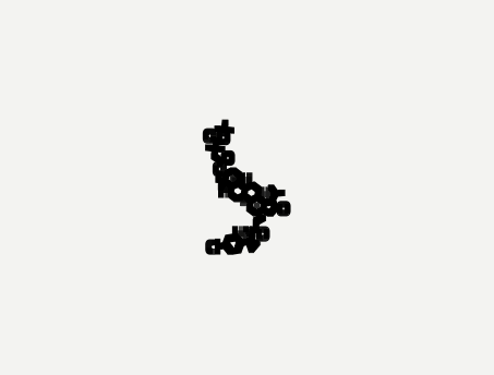 CC(C)C1=C2[C@H]3CC[C@@H]4[C@@]5(C)CC[C@H](OC(=O)CC(C)(C)C(=O)OC(C)(C)C)C(C)(C)[C@@H]5CC[C@@]4(C)[C@]3(C)CC[C@@]2(C=CC(=O)NC2(c3ccc(Cl)cc3)CC2)CC1=O